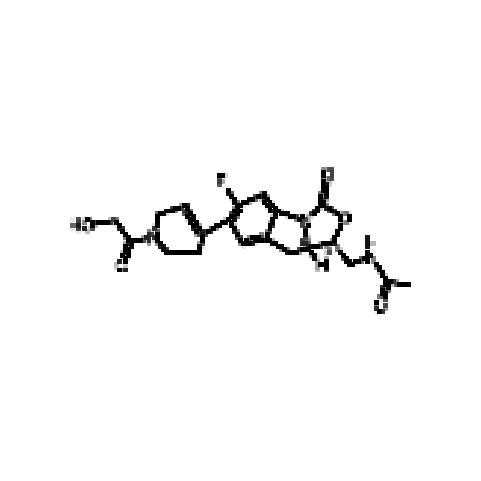 CC(=O)NC[C@@H]1OC(=O)N2c3cc(F)c(C4=CCN(C(=O)CO)CC4)cc3C[C@@H]12